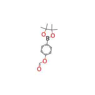 CC1(C)OB(c2ccc(OC=O)cc2)OC1(C)C